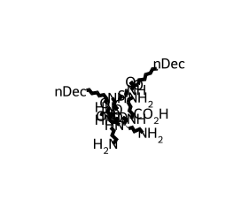 CCCCCCCCCCCCCCCCOC(=O)NCCSC[C@H](NC(=O)CCCCCCCCCCCCCCC)C(=O)N[C@H](CO)C(=O)N[C@@H](CCCCN)C(=O)N[C@@H](CCCCN)C(=O)N[C@@H](CCCCN)C(=O)O